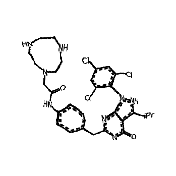 CC(C)c1[nH]n(-c2c(Cl)cc(Cl)cc2Cl)c2nc(Cc3ccc(NC(=O)CN4CCNCCNCC4)cc3)nc(=O)c1-2